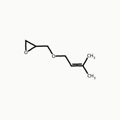 CC(C)=CCOCC1CO1